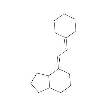 C(C=C1CCCC2CCCC12)=C1CCCCC1